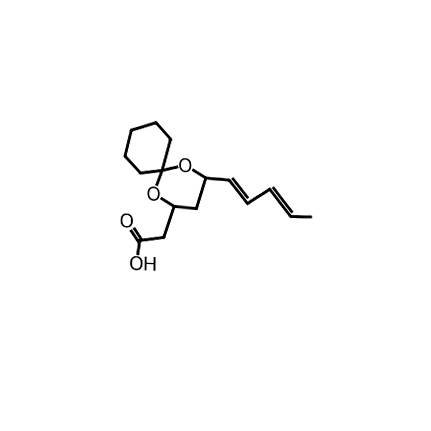 CC=CC=CC1CC(CC(=O)O)OC2(CCCCC2)O1